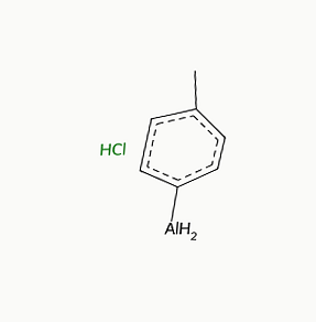 Cc1cc[c]([AlH2])cc1.Cl